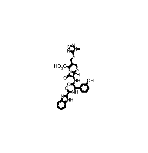 Cn1nnnc1SCC1=C(C(=O)O)N2C(=O)C(NC(=O)C(NC(=O)c3nc4ccccc4[nH]3)c3cccc(O)c3)[C@H]2SC1